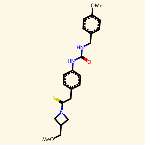 COCC1CN(C(=S)Cc2ccc(NC(=O)NCc3ccc(OC)cc3)cc2)C1